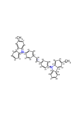 Cc1ccc2c(c1)c1ccccc1n2-c1ccc(/C=C/c2ccc(-n3c4ccccc4c4cc(C)ccc43)cc2)cc1